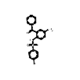 Bc1ccc(NS(=O)(=O)c2ccc(C)cc2)c(C(=O)c2ccccc2)c1